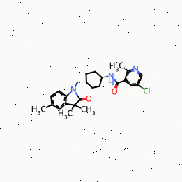 Cc1ccc2c(c1)C(C)(C)C(=O)N2C[C@H]1CC[C@H](NC(=O)c2cc(Cl)cnc2C)CC1